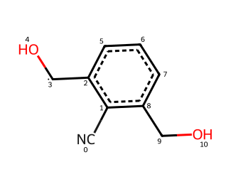 N#Cc1c([CH]O)cccc1CO